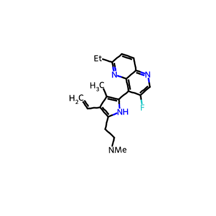 C=Cc1c(CCNC)[nH]c(-c2c(F)cnc3ccc(CC)nc23)c1C